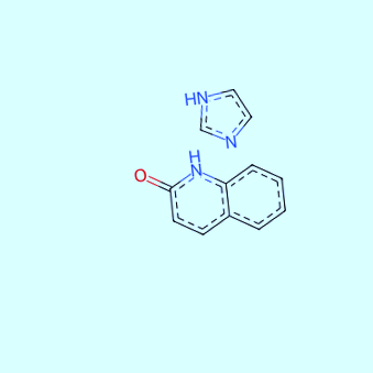 O=c1ccc2ccccc2[nH]1.c1c[nH]cn1